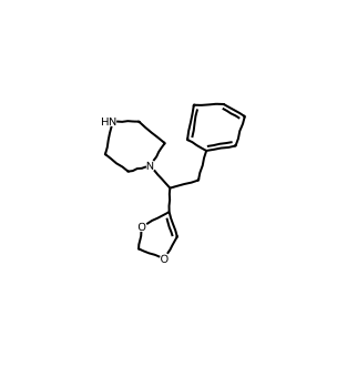 C1=C(C(Cc2ccccc2)N2CCNCC2)OCO1